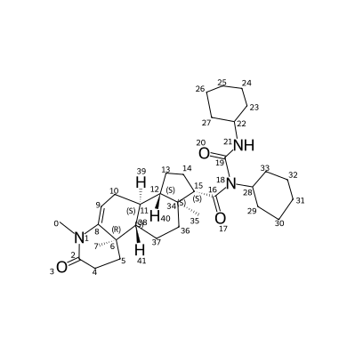 CN1C(=O)CC[C@@]2(C)C1=CC[C@H]1[C@@H]3CC[C@H](C(=O)N(C(=O)NC4CCCCC4)C4CCCCC4)[C@@]3(C)CC[C@@H]12